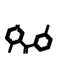 Cc1cccc(Nc2cnccc2C)c1